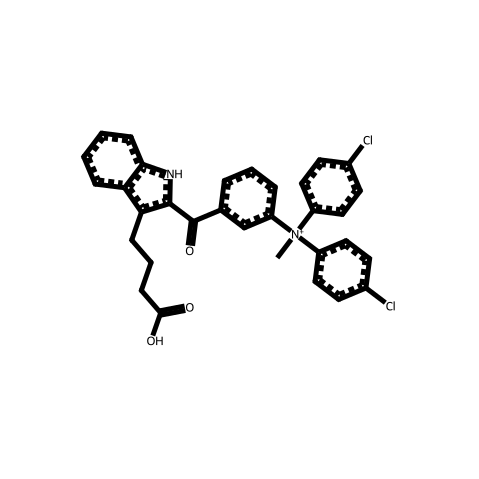 C[N+](c1ccc(Cl)cc1)(c1ccc(Cl)cc1)c1cccc(C(=O)c2[nH]c3ccccc3c2CCCC(=O)O)c1